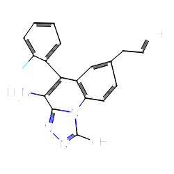 C=CCc1ccc2c(c1)c(-c1ccccc1F)c(N)c1nnc(C)n12